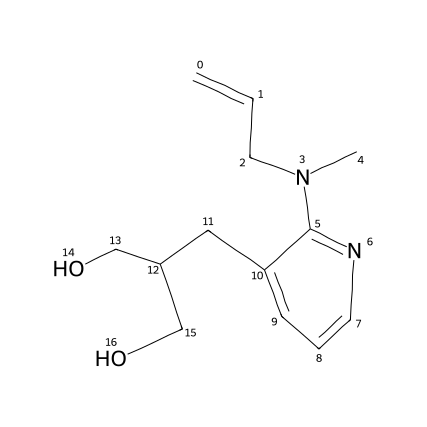 C=CCN(C)c1ncccc1CC(CO)CO